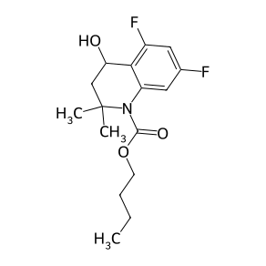 CCCCOC(=O)N1c2cc(F)cc(F)c2C(O)CC1(C)C